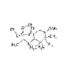 CCO[Si](OCC)(OCC)C(C)OC1CCN(OC)C(C)(C)C1(C)C